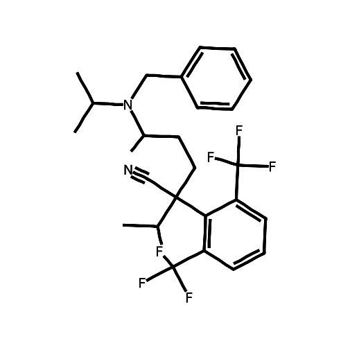 CC(C)N(Cc1ccccc1)C(C)CCC(C#N)(c1c(C(F)(F)F)cccc1C(F)(F)F)C(C)C